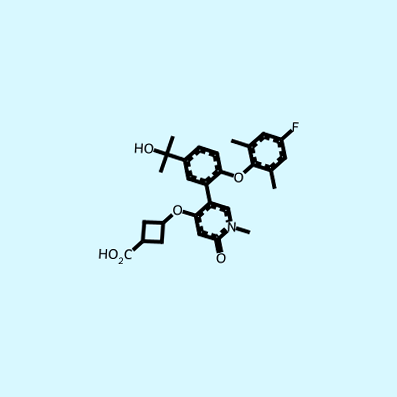 Cc1cc(F)cc(C)c1Oc1ccc(C(C)(C)O)cc1-c1cn(C)c(=O)cc1OC1CC(C(=O)O)C1